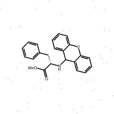 COC(=O)[C@H](Cc1ccccc1)NC1c2ccccc2Oc2ccccc21